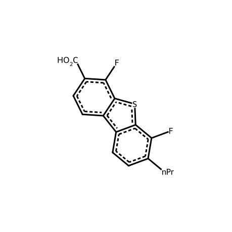 CCCc1ccc2c(sc3c(F)c(C(=O)O)ccc32)c1F